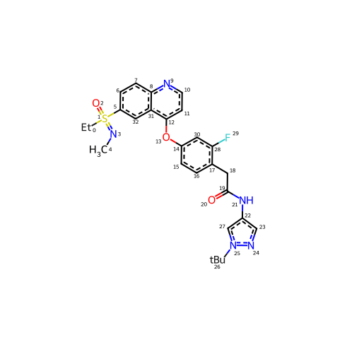 CCS(=O)(=NC)c1ccc2nccc(Oc3ccc(CC(=O)Nc4cnn(C(C)(C)C)c4)c(F)c3)c2c1